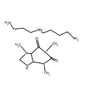 CN1C(=O)C2C(NCN2C)N(C)C1=O.NCCCCNCCCN